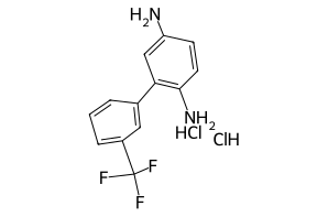 Cl.Cl.Nc1ccc(N)c(-c2cccc(C(F)(F)F)c2)c1